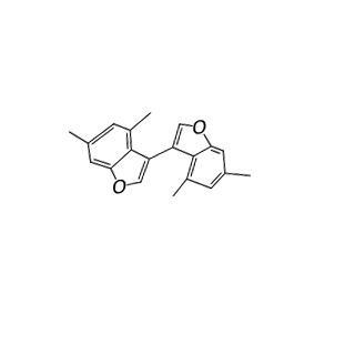 Cc1cc(C)c2c(-c3coc4cc(C)cc(C)c34)coc2c1